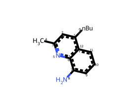 CCCCc1cc(C)nc2c(N)cccc12